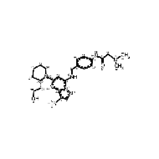 Bc1cnn2c(NCc3ccc(NC(=O)CN(C)C)cc3)cc(N3CCCC[C@H]3CCO)nc12